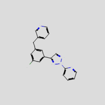 Fc1cc(Cc2cccnc2)cc(-c2cnn(-c3ccccn3)n2)c1